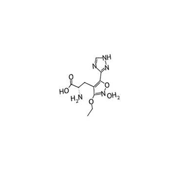 CCOc1noc(-c2nc[nH]n2)c1C[C@H](N)C(=O)O.O